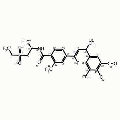 C[C@H](CS(=O)(=O)CC(F)(F)F)NC(=O)c1ccc(/C(F)=C/C(c2cc(Cl)c(Cl)c(C=O)c2)C(F)(F)F)cc1C(F)(F)F